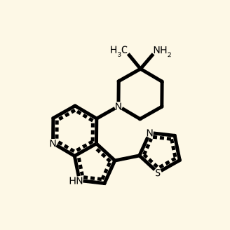 CC1(N)CCCN(c2ccnc3[nH]cc(-c4nccs4)c23)C1